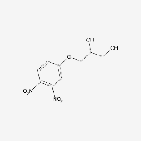 O=[N+]([O-])c1ccc(OCC(O)CO)cc1[N+](=O)[O-]